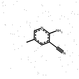 Cc1cnc(N)c(C#N)c1